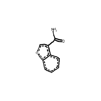 NC(=O)c1[c]oc2ccccc12